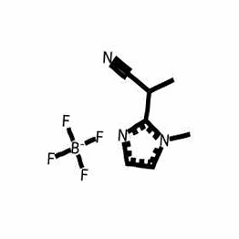 CC(C#N)c1nccn1C.F[B-](F)(F)F